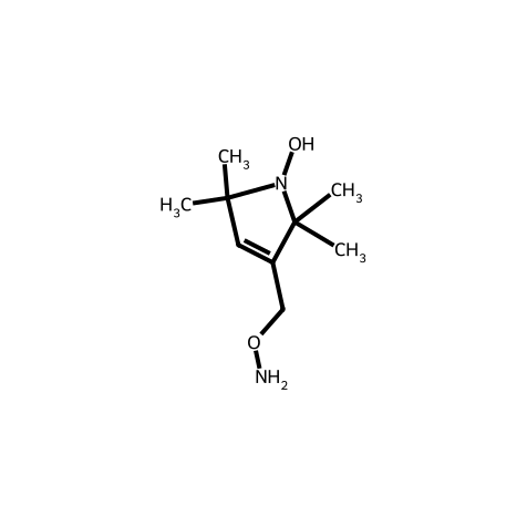 CC1(C)C=C(CON)C(C)(C)N1O